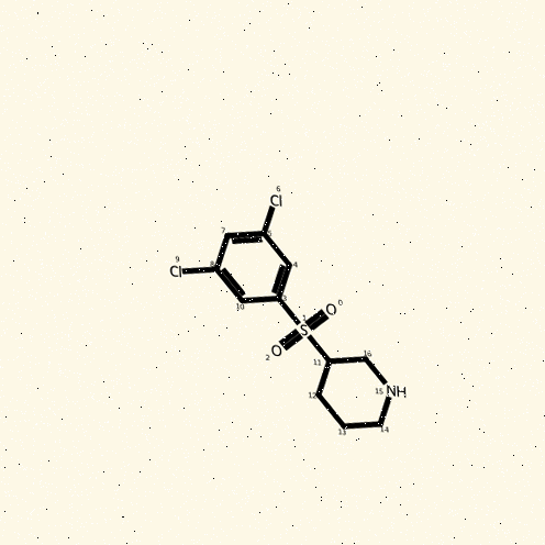 O=S(=O)(c1cc(Cl)cc(Cl)c1)C1CCCNC1